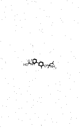 Cc1cc(-c2ccnc(NC(=O)O)c2)ccc1OCC(C)(N)CC(C)C